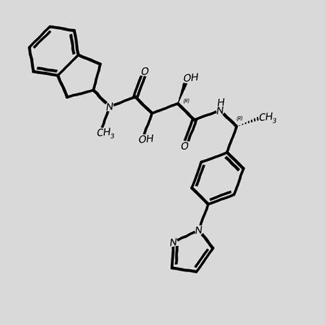 C[C@@H](NC(=O)[C@H](O)C(O)C(=O)N(C)C1Cc2ccccc2C1)c1ccc(-n2cccn2)cc1